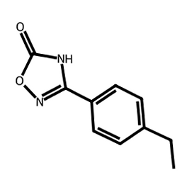 CCc1ccc(-c2noc(=O)[nH]2)cc1